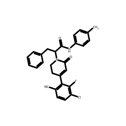 Cc1ccc(NC(=O)C(Cc2ccccc2)N2CCC(c3c(C#N)ccc(Cl)c3F)=CC2=O)cc1